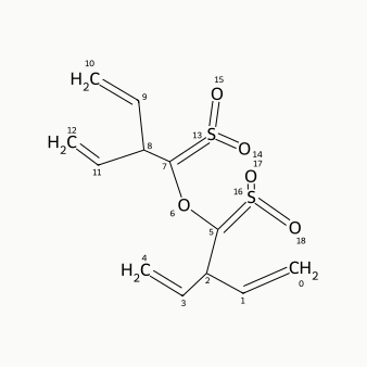 C=CC(C=C)C(OC(C(C=C)C=C)=S(=O)=O)=S(=O)=O